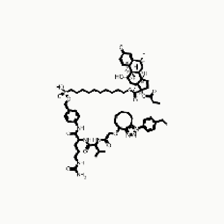 CCC(=O)O[C@]1(C(=O)SCCCCCCCCCCP(=O)(O)OCc2ccc(NC(=O)C(CCCNC(N)=O)NC(=O)C(NC(=O)COC3CCCCCc4c3nnn4-c3ccc(CI)cc3)C(C)C)cc2)CC[C@H]2[C@@H]3C[C@H](F)C4=CC(=O)C=C[C@]4(C)[C@@]3(F)[C@@H](O)C[C@@]21C